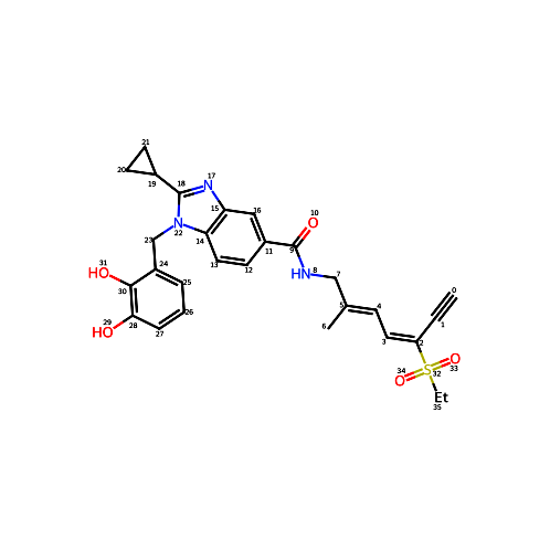 C#C/C(=C\C=C(/C)CNC(=O)c1ccc2c(c1)nc(C1CC1)n2Cc1cccc(O)c1O)S(=O)(=O)CC